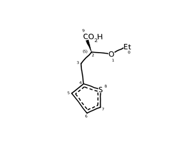 CCO[C@@H](Cc1cccs1)C(=O)O